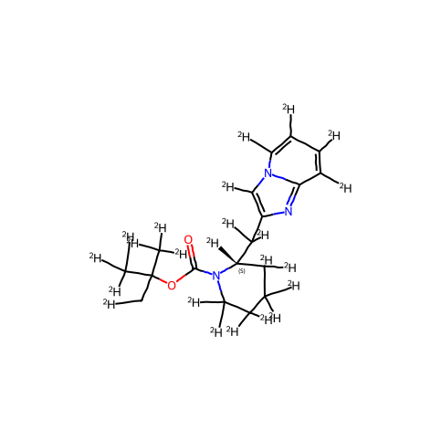 [2H]CC(OC(=O)N1C([2H])([2H])C([2H])([2H])C([2H])([2H])C([2H])([2H])[C@@]1([2H])C([2H])([2H])c1nc2c([2H])c([2H])c([2H])c([2H])n2c1[2H])(C([2H])([2H])[2H])C([2H])([2H])[2H]